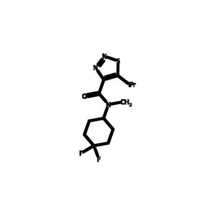 CC(C)c1snnc1C(=O)N(C)C1CCC(F)(F)CC1